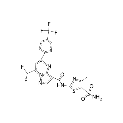 Cc1nc(NC(=O)c2cnn3c(C(F)F)cc(-c4ccc(C(F)(F)F)cc4)nc23)sc1S(N)(=O)=O